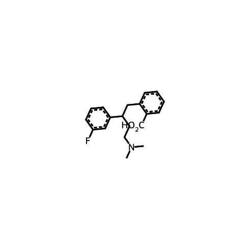 CN(C)CCC(Cc1ccccc1C(=O)O)c1cccc(F)c1